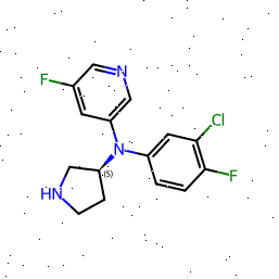 Fc1cncc(N(c2ccc(F)c(Cl)c2)[C@H]2CCNC2)c1